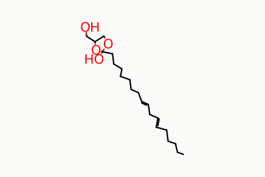 CCCCC/C=C/C/C=C/CCCCCCCC1(O)OCC(CO)O1